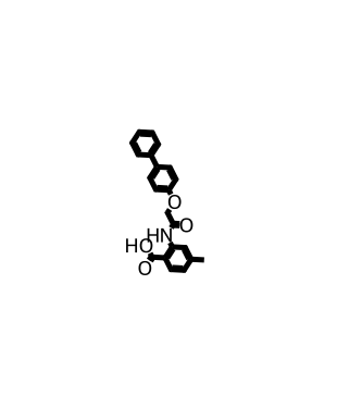 Cc1ccc(C(=O)O)c(NC(=O)COc2ccc(-c3ccccc3)cc2)c1